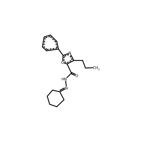 CCCc1nc(-c2ccccc2)oc1C(=O)NN=C1CCCCC1